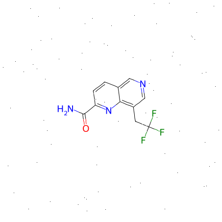 NC(=O)c1ccc2cncc(CC(F)(F)F)c2n1